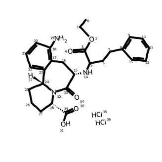 CCOC(=O)C(CCc1ccccc1)N[C@H]1Cc2c(N)cccc2[C@H]2CCC[C@@H](C(=O)O)N2C1=O.Cl.Cl